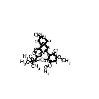 COc1cc(OC)c(Cl)c(-c2cc3cnc(Cl)cc3c(=O)n2CC(=O)NC(C)(C)C)c1Cl